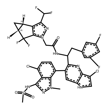 Cn1nc(NS(C)(=O)=O)c2c(Cl)ccc(-c3cc4[nH]cc(Cl)c4nc3C(Cc3cc(F)cc(F)c3)NC(=O)Cn3nc(C(F)F)c4c3C(F)(F)[C@@H]3C[C@H]43)c21